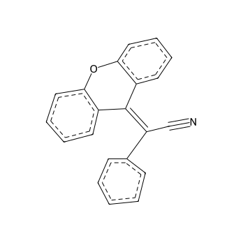 N#CC(=C1c2ccccc2Oc2ccccc21)c1ccccc1